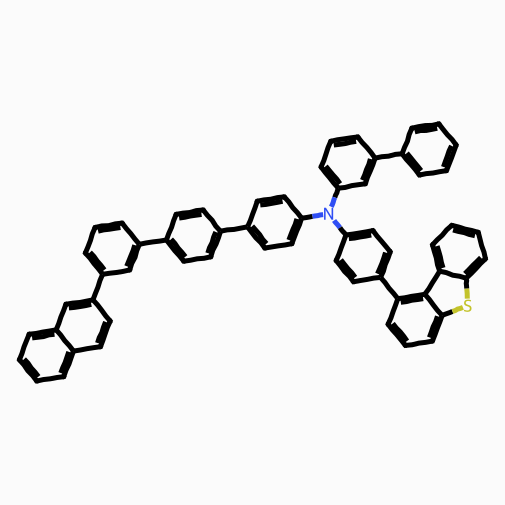 c1ccc(-c2cccc(N(c3ccc(-c4ccc(-c5cccc(-c6ccc7ccccc7c6)c5)cc4)cc3)c3ccc(-c4cccc5sc6ccccc6c45)cc3)c2)cc1